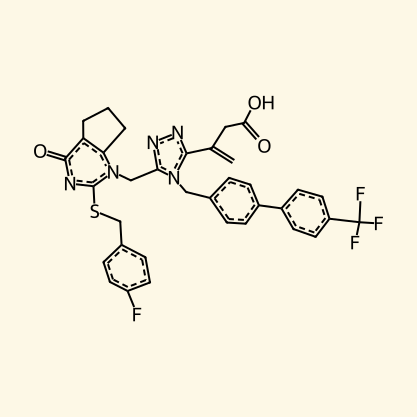 C=C(CC(=O)O)c1nnc(Cn2c(SCc3ccc(F)cc3)nc(=O)c3c2CCC3)n1Cc1ccc(-c2ccc(C(F)(F)F)cc2)cc1